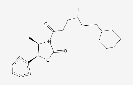 CC(CCC(=O)N1C(=O)O[C@@H](c2ccccc2)[C@H]1C)CCC1CCCCC1